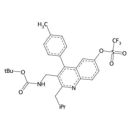 Cc1ccc(-c2c(CNC(=O)OC(C)(C)C)c(CC(C)C)nc3ccc(OS(=O)(=O)C(F)(F)F)cc23)cc1